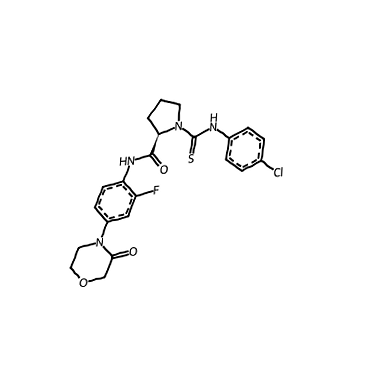 O=C(Nc1ccc(N2CCOCC2=O)cc1F)[C@H]1CCCN1C(=S)Nc1ccc(Cl)cc1